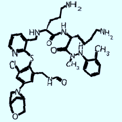 Cc1ccccc1NN(C)C(=O)[C@H](CCCCN)NC(=O)[C@H](CCCN)NCc1cccnc1Sc1c(Cl)cc(N2CC3CC2CO3)cc1CNC=O